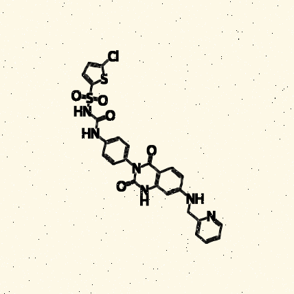 O=C(Nc1ccc(-n2c(=O)[nH]c3cc(NCc4ccccn4)ccc3c2=O)cc1)NS(=O)(=O)c1ccc(Cl)s1